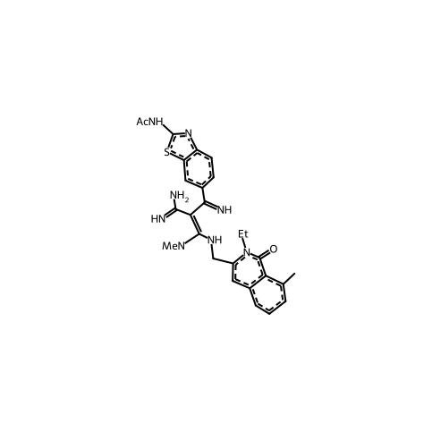 CCn1c(CN/C(NC)=C(/C(=N)N)C(=N)c2ccc3nc(NC(C)=O)sc3c2)cc2cccc(C)c2c1=O